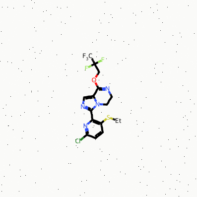 CCSc1ccc(Cl)nc1-c1ncc2n1CCN=C2OCC(F)(F)C(F)(F)F